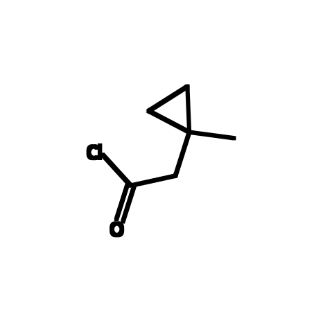 CC1(CC(=O)Cl)CC1